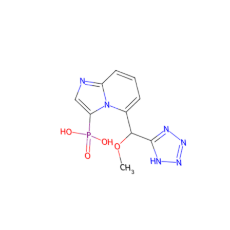 COC(c1nnn[nH]1)c1cccc2ncc(P(=O)(O)O)n12